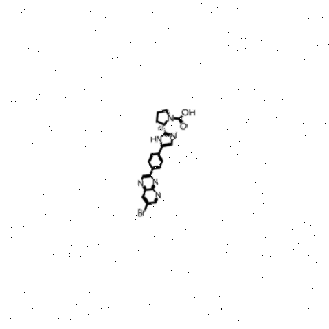 O=C(O)N1CCC[C@H]1c1ncc(-c2ccc(-c3cnc4cc(Br)cnc4n3)cc2)[nH]1